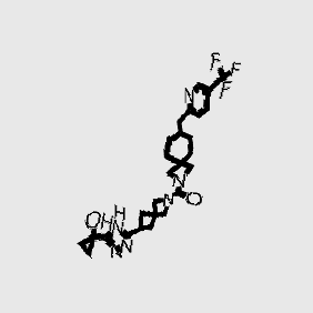 O=C(N1CC2(CCC(Cc3ccc(C(F)(F)F)cn3)CC2)C1)N1CC2(CC(c3nnc(C4(O)CC4)[nH]3)C2)C1